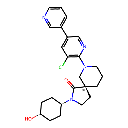 O=C1N([C@H]2CC[C@@H](O)CC2)CC[C@@]12CCCN(c1ncc(-c3cccnc3)cc1Cl)C2